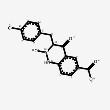 O=C(O)c1ccc2c(c1)C(=O)C(Cc1ccc(Cl)cc1)[S+]([O-])N2